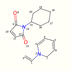 C=CN1C=CC=CC1.O=C1C=CC(=O)N1C1CCCCC1